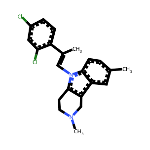 C/C(=C\n1c2c(c3cc(C)ccc31)CN(C)CC2)c1ccc(Cl)cc1Cl